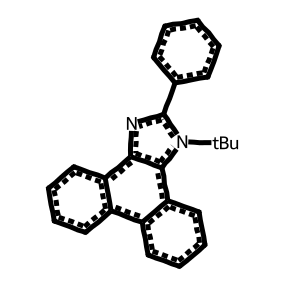 CC(C)(C)n1c(-c2ccccc2)nc2c3ccccc3c3ccccc3c21